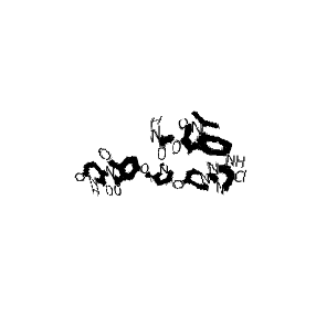 CNC(=O)COc1cc2cc(Nc3nc(N4CCC(O[C@@H]5C[C@@H](COc6ccc7c(c6)C(=O)N(C6CCC(=O)NC6=O)C7=O)N(C)C5)CC4)ncc3Cl)ccc2n(C(C)C)c1=O